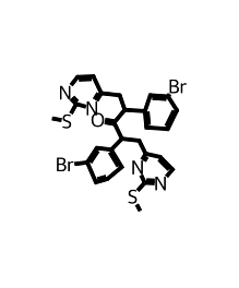 CSc1nccc(CC(C(=O)C(Cc2ccnc(SC)n2)c2cccc(Br)c2)c2cccc(Br)c2)n1